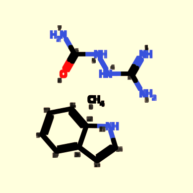 C.N=C(N)NNC(N)=O.c1ccc2[nH]ccc2c1